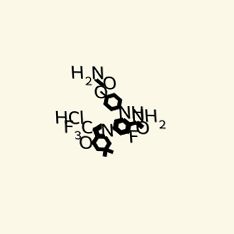 CC1(C)CC(=O)c2c(C(F)(F)F)cn(-c3cc(F)c(C(N)=O)c(N[C@H]4CC[C@H](OC(=O)CN)CC4)c3)c2C1.Cl